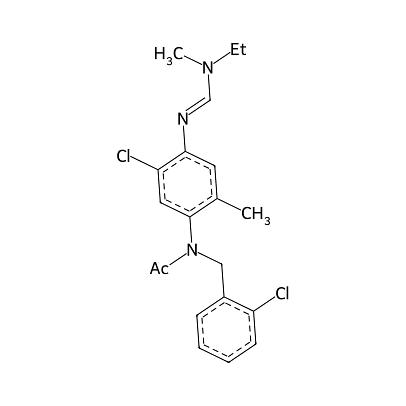 CCN(C)C=Nc1cc(C)c(N(Cc2ccccc2Cl)C(C)=O)cc1Cl